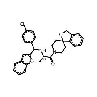 C[C@@H](NC(c1ccc(Cl)cc1)c1cc2ccccc2o1)C(=O)N1CCC2(CC1)OCc1ccccc12